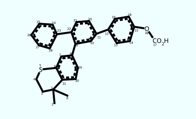 CC1(C)CCSc2cc(-c3cc(-c4ccc(OC(=O)O)cc4)ccc3-c3ccccc3)ccc21